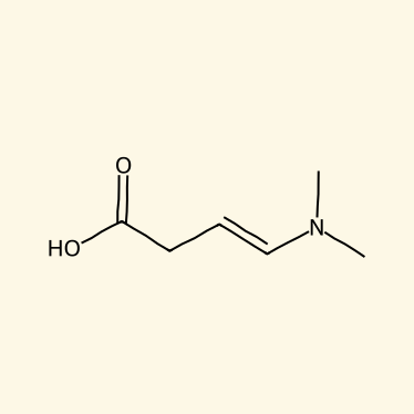 CN(C)C=CCC(=O)O